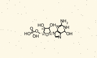 NC1=Nc2c(ncn2[C@@H]2O[C@H](COP(=O)(O)O)[C@@H](O)C2O)C(O)N1